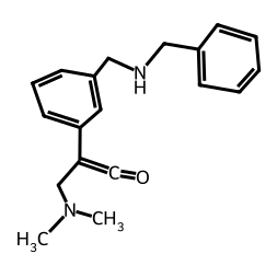 CN(C)CC(=C=O)c1cccc(CNCc2ccccc2)c1